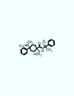 CN(C)[C@]1(c2ccccc2)CC[C@@](N)(C(=O)NC(C)(C)c2ccccc2)CC1.Cl